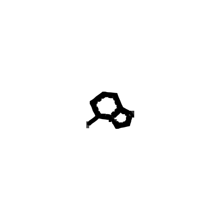 Ic1cccc2nccn12